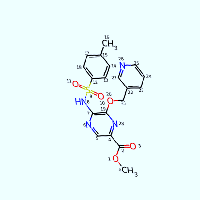 COC(=O)c1cnc(NS(=O)(=O)c2ccc(C)cc2)c(OCc2cccnc2)n1